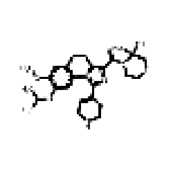 COc1cc2c(cc1OC(C)C)-n1c(C3=CCNCC3)nc(C(=O)N3CCOCC3(C)C)c1CC2